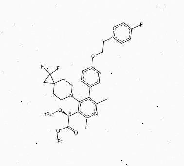 Cc1nc(C)c([C@H](OC(C)(C)C)C(=O)OC(C)C)c(N2CCC3(CC2)CC3(F)F)c1-c1ccc(OCCc2ccc(F)cc2)cc1